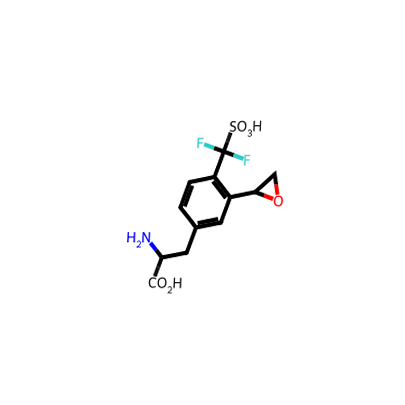 NC(Cc1ccc(C(F)(F)S(=O)(=O)O)c(C2CO2)c1)C(=O)O